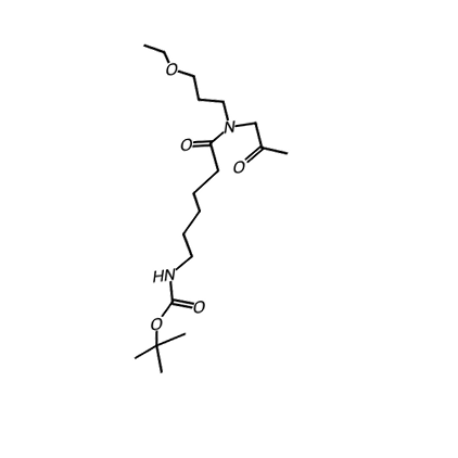 CCOCCCN(CC(C)=O)C(=O)CCCCCNC(=O)OC(C)(C)C